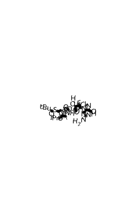 CC(C)OC(=O)[C@@H](C)NP(=O)(OCCSC(=O)C(C)(C)C)OC[C@H]1O[C@@H](n2cnc3c(=O)[nH]c(N)nc32)[C@@](F)(Cl)[C@@H]1O